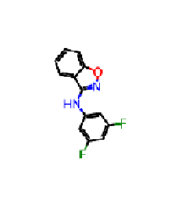 Fc1cc(F)cc(Nc2noc3ccccc23)c1